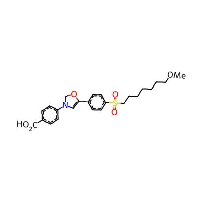 COCCCCCCCS(=O)(=O)c1ccc(C2=CN(c3ccc(C(=O)O)cc3)CO2)cc1